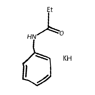 CCC(=O)Nc1ccccc1.[KH]